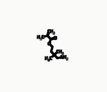 C=C(C)C(=O)OCCC(C)(C)CN